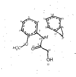 COc1ccccc1NC(=O)CO.c1ccc2c(c1)C2